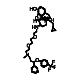 CN(CCOCCOCCN[C@@H]1CC[C@@]2(O)[C@H]3Cc4ccc(O)c5c4[C@@]2(CCN3CC2CC2)[C@H]1O5)CCC(Oc1ccc(C(F)(F)F)cc1)c1ccccc1